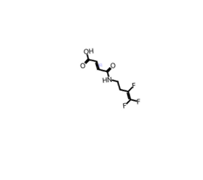 O=C(O)/C=C/C(=O)NCCC(F)=C(F)F